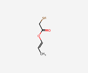 CC=COC(=O)CS